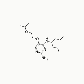 CCCC(CCC)Nc1nc(N)ncc1OCCOC(C)C